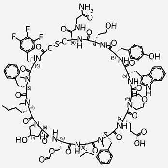 CCCC[C@H]1C(=O)N2C[C@H](O)C[C@@H]2C(=O)N[C@@H](COC=O)C(=O)N[C@@H](C(C)C)C(=O)N(C)[C@@H](Cc2ccccc2)C(=O)N[C@@H](CCC(=O)O)C(=O)N2CCOC[C@@H]2C(=O)N[C@@H](Cc2c[nH]c3ccccc23)C(=O)N[C@@H](Cc2ccc(O)cc2)C(=O)N[C@@H](CCO)C(=O)N[C@H](C(=O)NCC(N)=O)CSCC(=O)N[C@@H](Cc2cc(F)c(F)c(F)c2)C(=O)N(C)[C@@H](Cc2ccccc2)C(=O)N1C